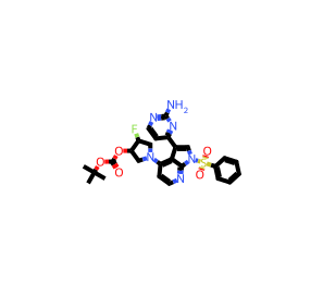 CC(C)(C)OC(=O)OC1CN(c2ccnc3c2c(-c2ccnc(N)n2)cn3S(=O)(=O)c2ccccc2)CC1F